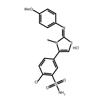 COc1ccc(/N=c2/scc(-c3ccc(Cl)c(S(N)(=O)=O)c3)n2C)cc1.Cl